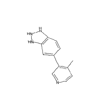 Cc1ccncc1-c1ccc2c(c1)NNN2